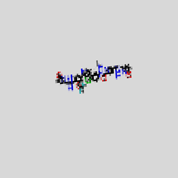 Cc1c(NC(=O)c2ccc(CNCC3CCC(=O)N3)cn2)cccc1-c1ccnc(-c2ccc(CNCC3CCC(=O)N3)c(OC(F)F)c2)c1Cl